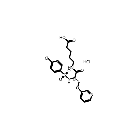 Cl.O=C(O)CCCCNC(=O)[C@H](COc1cccnc1)NS(=O)(=O)c1ccc(Cl)cc1